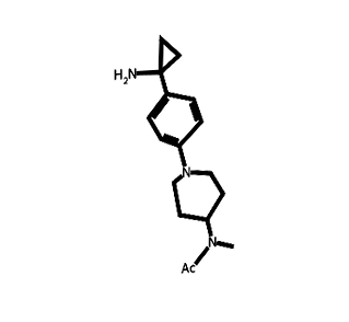 CC(=O)N(C)C1CCN(c2ccc(C3(N)CC3)cc2)CC1